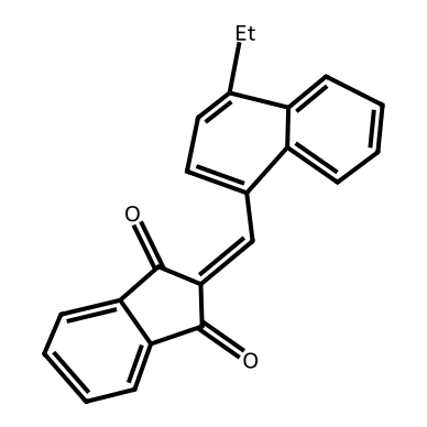 CCc1ccc(C=C2C(=O)c3ccccc3C2=O)c2ccccc12